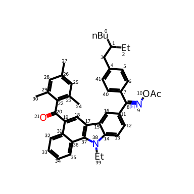 CCCCC(CC)Cc1ccc(/C(=N\OC(C)=O)c2ccc3c(c2)c2cc(C(=O)c4c(C)cc(C)cc4C)c4ccccc4c2n3CC)cc1